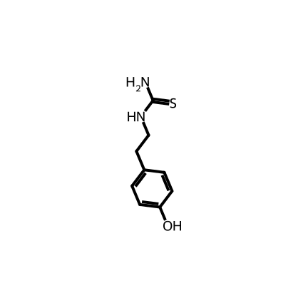 NC(=S)NCCc1ccc(O)cc1